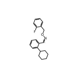 Fc1ccccc1CO/N=[C]\c1ccccc1C1CCCCC1